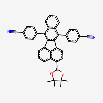 CC1(C)OB(c2ccc3c4c(cccc24)-c2c-3c(-c3ccc(C#N)cc3)c3ccccc3c2-c2ccc(C#N)cc2)OC1(C)C